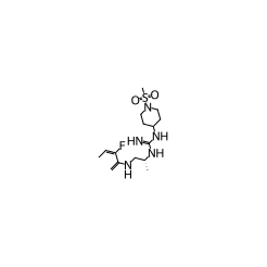 C=C(NC[C@@H](C)NC(=N)NC1CCN(S(C)(=O)=O)CC1)/C(F)=C\C